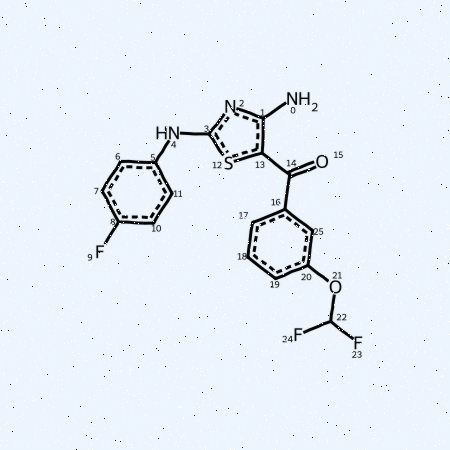 Nc1nc(Nc2ccc(F)cc2)sc1C(=O)c1cccc(OC(F)F)c1